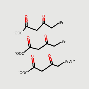 CC(C)CC(=O)CC(=O)C(=O)[O-].CC(C)CC(=O)CC(=O)C(=O)[O-].CC(C)CC(=O)CC(=O)C(=O)[O-].[Al+3]